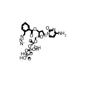 [N-]=[N+]=NCc1ccccc1C(=O)OC1C[C@H](n2ccc(N)nc2=O)O[C@@H]1COP(=O)(O)OP(=O)(O)OP(=O)(O)O